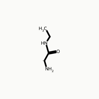 CCNC(=O)[CH]N